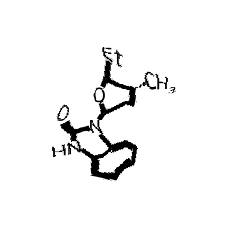 CCC1OC(n2c(=O)[nH]c3ccccc32)C[C@H]1C